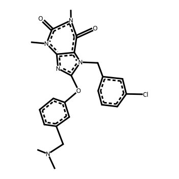 CN(C)Cc1cccc(Oc2nc3c(c(=O)n(C)c(=O)n3C)n2Cc2cccc(Cl)c2)c1